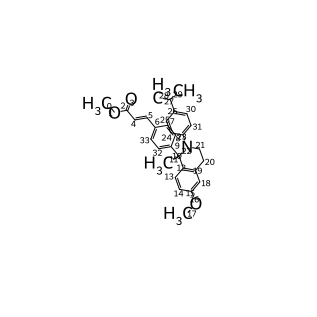 COC(=O)/C=C/c1ccc(C2(C)c3ccc(OC)cc3CCN2c2ccc(C(C)C)cc2)cc1